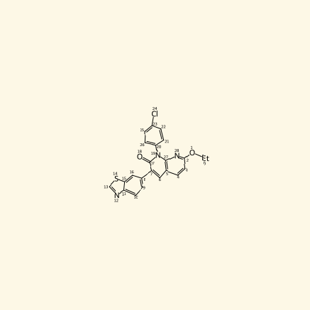 CCOc1ccc2cc(-c3ccc4ncsc4c3)c(=O)n(-c3ccc(Cl)cc3)c2n1